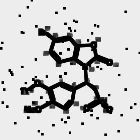 CCOc1cc([C@H](C[SH](=O)=O)n2c(=O)oc3cc(Br)ccc32)ccc1OC